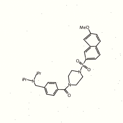 COc1ccc2ccc(S(=O)(=O)N3CCN(C(=O)c4ccc(CN(C(C)C)C(C)C)cc4)CC3)cc2c1